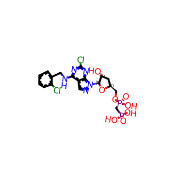 O=P(O)(O)CP(=O)(O)OC[C@@H]1C[C@@H](O)[C@H](n2ncc3c(NCc4ccccc4Cl)nc(Cl)nc32)O1